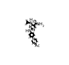 CC(=O)N1CCN(c2ccc(Nc3ncc(C(N)=O)c(NC4CC4)n3)cc2)CC1